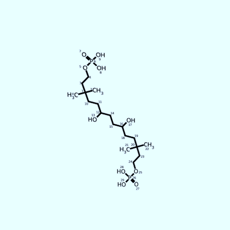 CC(C)(CCOP(=O)(O)O)CCC(O)CCC(O)CCC(C)(C)CCOP(=O)(O)O